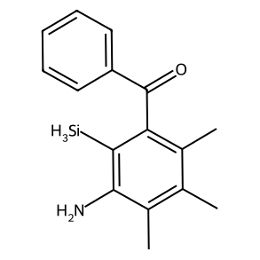 Cc1c(C)c(N)c([SiH3])c(C(=O)c2ccccc2)c1C